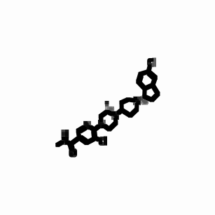 CNC(=O)c1cnc(N2CCN(C3CCN([C@H]4CCC5C=C(Cl)C=CC54)CC3)[C@@H](C)C2)c(Cl)c1